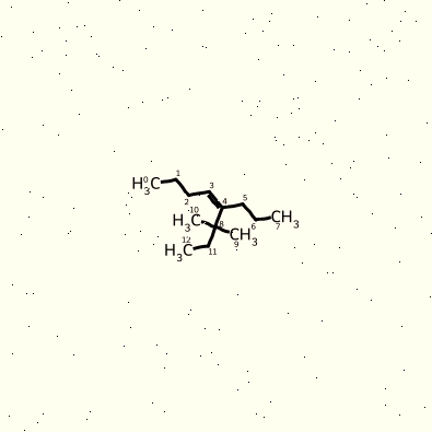 CCCC=C(CCC)C(C)(C)CC